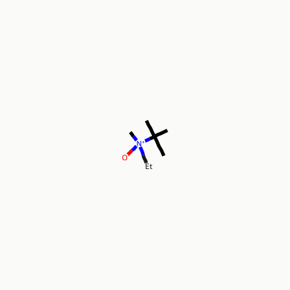 CC[N+](C)([O-])C(C)(C)C